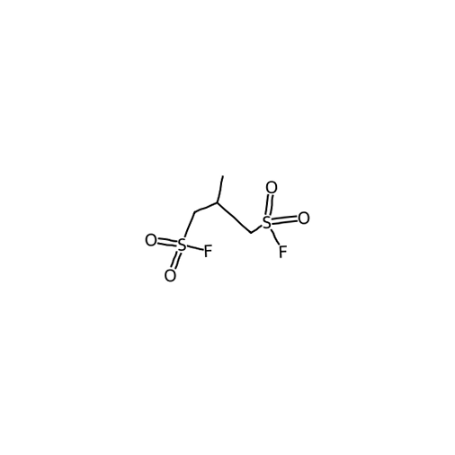 CC(CS(=O)(=O)F)CS(=O)(=O)F